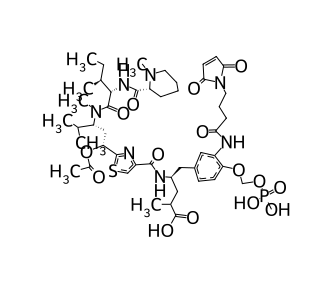 CC[C@H](C)[C@H](NC(=O)[C@H]1CCCCN1C)C(=O)N(C)[C@H](C[C@@H](OC(C)=O)c1nc(C(=O)N[C@@H](Cc2ccc(OCOP(=O)(O)O)c(NC(=O)CCCN3C(=O)C=CC3=O)c2)CC(C)C(=O)O)cs1)C(C)C